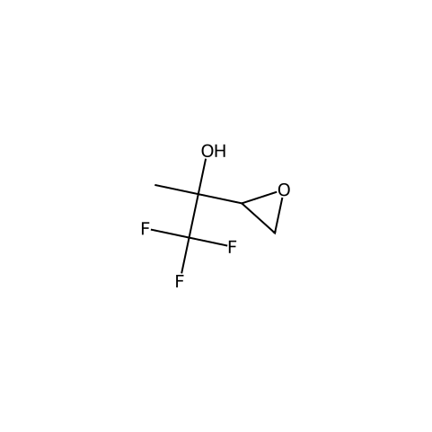 CC(O)(C1CO1)C(F)(F)F